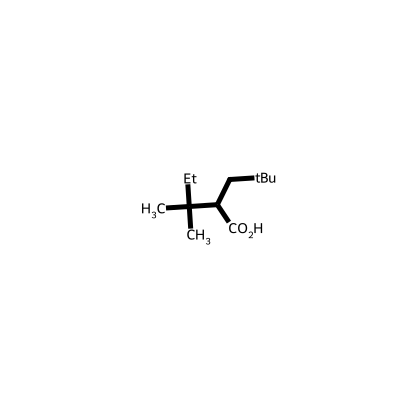 CCC(C)(C)C(CC(C)(C)C)C(=O)O